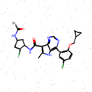 CCC(=O)NC1CC(F)C(NC(=O)c2c(C)[nH]c3c(-c4cc(F)ccc4OCC4CC4)ncnc23)C1